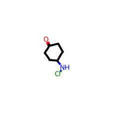 O=C1CCC(NCl)CC1